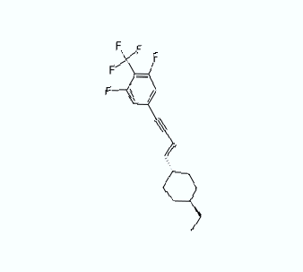 CC[C@H]1CC[C@H](C=CC#Cc2cc(F)c(C(F)(F)F)c(F)c2)CC1